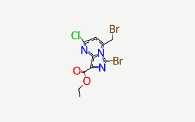 CCOC(=O)c1nc(Br)n2c(CBr)cc(Cl)nc12